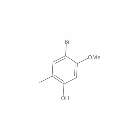 COc1cc(O)c(C)cc1Br